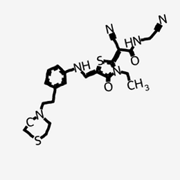 CCn1c(=C(C#N)C(=O)NCC#N)sc(=CNc2cccc(CCN3CCSCC3)c2)c1=O